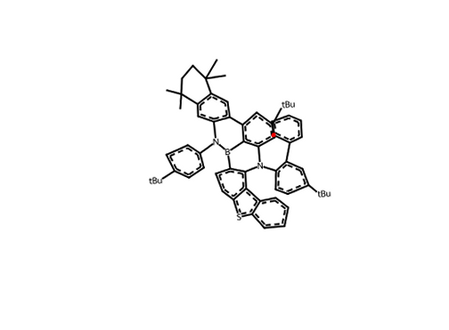 CC(C)(C)c1ccc(N2B3c4ccc5sc6ccccc6c5c4N(c4ccc(C(C)(C)C)cc4-c4ccccc4)c4cc(C(C)(C)C)cc(c43)-c3cc4c(cc32)C(C)(C)CCC4(C)C)cc1